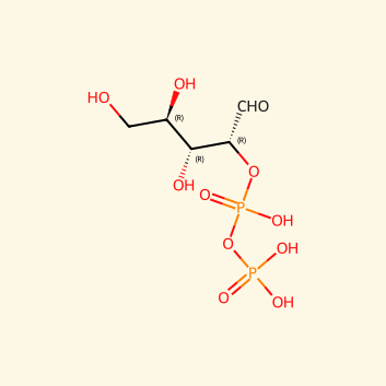 O=C[C@H](OP(=O)(O)OP(=O)(O)O)[C@H](O)[C@H](O)CO